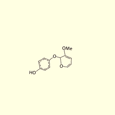 COC1=CC=COC1Oc1ccc(O)cc1